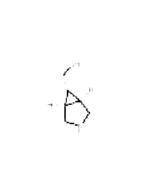 OC[C@@H]1[C@H]2CNC[C@@H]12